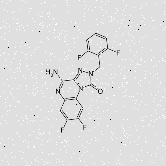 Nc1nc2cc(F)c(F)cc2n2c(=O)n(Cc3c(F)cccc3F)nc12